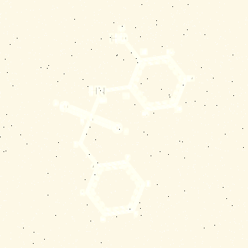 O=S(=O)(Cc1ccccc1)Nc1ccccc1O